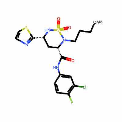 COCCCN1[C@H](C(=O)Nc2ccc(F)c(Cl)c2)C[C@H](c2nccs2)NS1(=O)=O